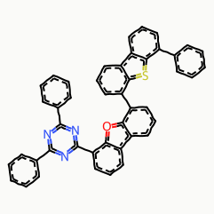 c1ccc(-c2nc(-c3ccccc3)nc(-c3cccc4c3oc3c(-c5cccc6c5sc5c(-c7ccccc7)cccc56)cccc34)n2)cc1